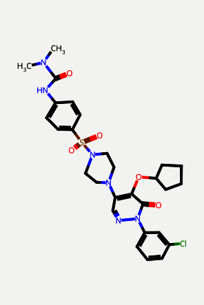 CN(C)C(=O)Nc1ccc(S(=O)(=O)N2CCN(c3cnn(-c4cccc(Cl)c4)c(=O)c3OC3CCCC3)CC2)cc1